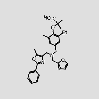 CCc1cc(CN(Cc2ncco2)Cc2nc(-c3ccccc3)oc2C)cc(C)c1OC(C)(C)C(=O)O